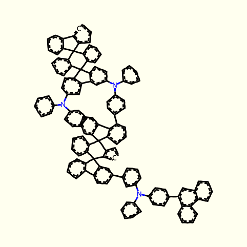 c1ccc(N(c2ccc(-c3cc4ccccc4c4ccccc34)cc2)c2cccc(-c3ccc4c(c3)C3(c5ccccc5-4)c4ccccc4C4(c5ccccc5-c5c(-c6ccc(N(c7ccccc7)c7ccc8c(c7)-c7cc(N(c9ccccc9)c9ccccc9)ccc7C87c8ccccc8C8(c9ccccc9-c9ccccc98)c8ccccc87)cc6)cccc54)c4ccccc43)c2)cc1